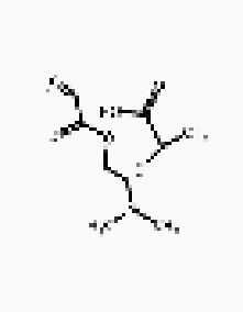 C=CC(=O)OCCN(C)C.CC(O)C(=O)O